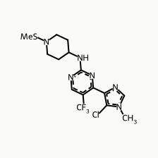 CSN1CCC(Nc2ncc(C(F)(F)F)c(-c3ncn(C)c3Cl)n2)CC1